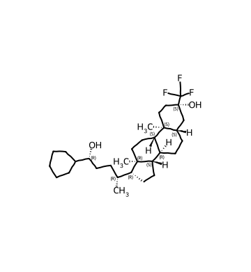 C[C@H](CC[C@@H](O)C1CCCCC1)[C@H]1CC[C@H]2[C@@H]3CC[C@H]4C[C@](O)(C(F)(F)F)CC[C@]4(C)[C@H]3CC[C@]12C